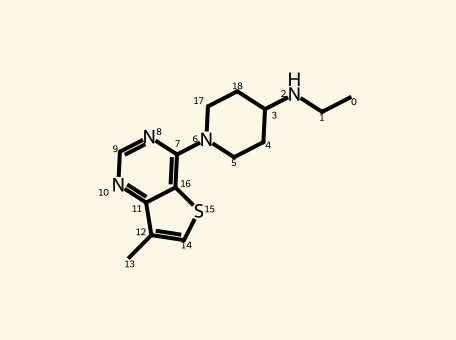 CCNC1CCN(c2ncnc3c(C)csc23)CC1